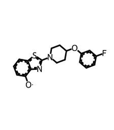 [O]c1cccc2sc(N3CCC(Oc4cccc(F)c4)CC3)nc12